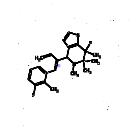 C=C/C(=C\c1cccc(F)c1C)C1c2ccsc2C(C)(F)C(C)(C)N1C